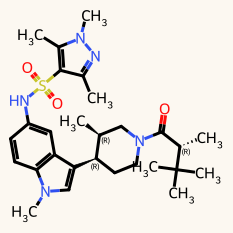 Cc1nn(C)c(C)c1S(=O)(=O)Nc1ccc2c(c1)c([C@@H]1CCN(C(=O)[C@H](C)C(C)(C)C)C[C@@H]1C)cn2C